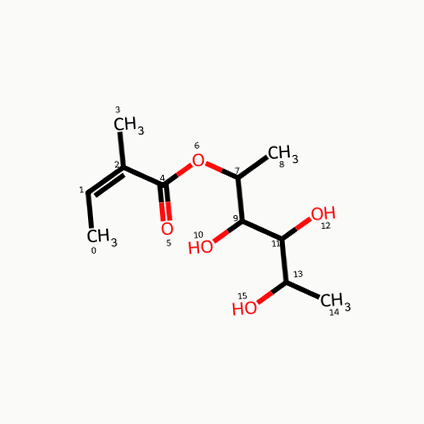 CC=C(C)C(=O)OC(C)C(O)C(O)C(C)O